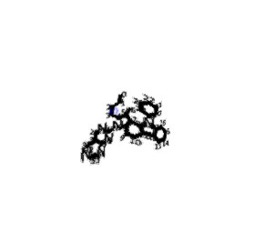 C=C/C=C\c1c(C)c2c(ccc3c4ccccc4n(-c4ccccc4)c32)n1-c1ncc2cncnc2n1